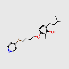 Cc1c(OCCCCSc2ccncc2)ccc(CCC(C)C)c1O